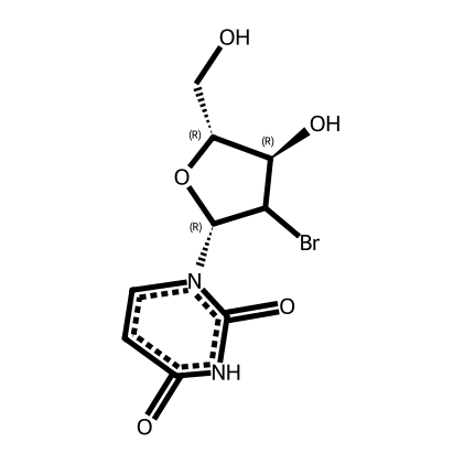 O=c1ccn([C@@H]2O[C@H](CO)[C@@H](O)C2Br)c(=O)[nH]1